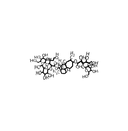 C=C1C[C@@]2(C)CCC3[C@](C)(C(=O)OC(O)/C(OC4OC(CO)C(O)C(O)C4O)=C(/OC4OC(CO)C(O)C(O)C4O)C(O)CCO)CCC[C@@]3(C)[C@@H]2CCC1OC(O)/C(O)=C(\OC1OC(CO)C(O)C(O)C1O)C(O)CCO